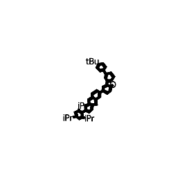 CC(C)c1cc(C(C)C)c(-c2ccc3cc4cc(-c5ccc6oc7ccc(-c8ccc(C(C)(C)C)cc8)cc7c6c5)ccc4cc3c2)c(C(C)C)c1